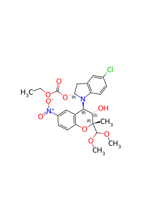 CCOC(=O)O[C@@H]1Cc2cc(Cl)ccc2N1[C@@H]1c2cc([N+](=O)[O-])ccc2O[C@@](C)(C(OC)OC)[C@H]1O